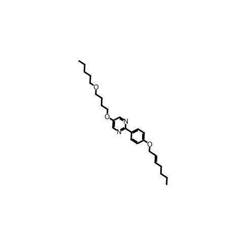 CCCC/C=C/COc1ccc(-c2ncc(OCCCCOCCCCC)cn2)cc1